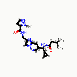 CC(C)n1nccc1C(=O)NCc1cn2ncc(C(NC(=O)CC(C(F)(F)F)C(F)(F)F)C3CC3)cc2n1